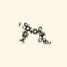 CC(C)(C)OC(=O)c1ccn(C(=O)N2CCN(Cc3ccc(C(F)(F)F)cc3N3CCN(C4CC4)CC3)CC2)n1